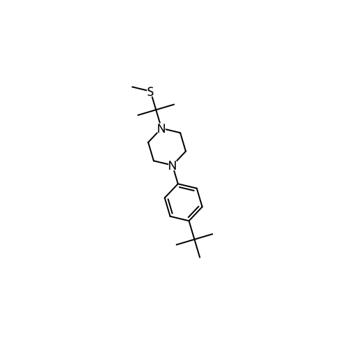 CSC(C)(C)N1CCN(c2ccc(C(C)(C)C)cc2)CC1